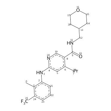 Cc1c(Nc2cc(C(C)C)c(C(=O)NCC3CCOCC3)cn2)cccc1C(F)(F)F